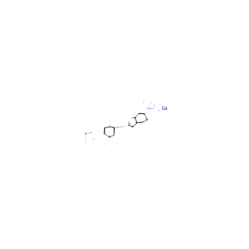 CCC(O)(CC)COc1ccc(C(CC)(CC)c2cc3ccc(C(=O)NC(C)(C)C(C)=O)cc3s2)cc1C